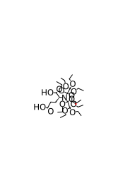 CCOC(OCC)(OCC)C(OCC)(OCC)N([C@@H](CCC(=O)O)C(=O)O)C(OCC)(OCC)C(OCC)(OCC)OCC